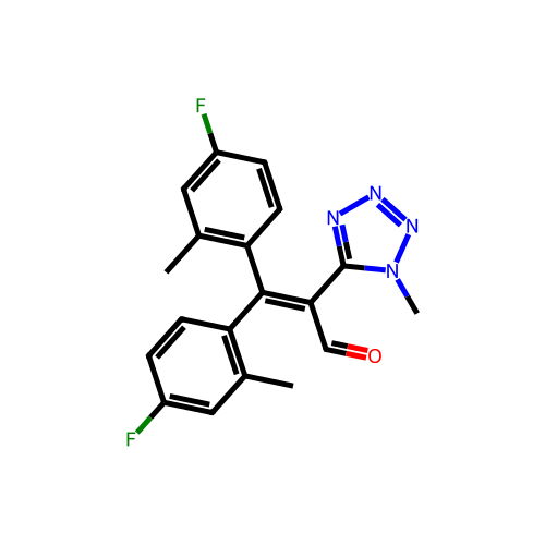 Cc1cc(F)ccc1C(=C(C=O)c1nnnn1C)c1ccc(F)cc1C